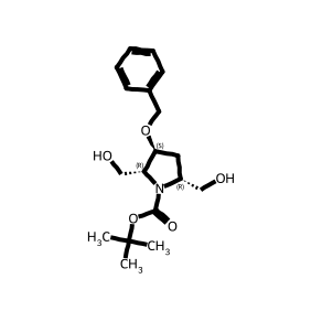 CC(C)(C)OC(=O)N1[C@@H](CO)C[C@H](OCc2ccccc2)[C@H]1CO